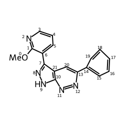 COc1ncccc1-c1n[nH]c2nnc(-c3ccccc3)cc12